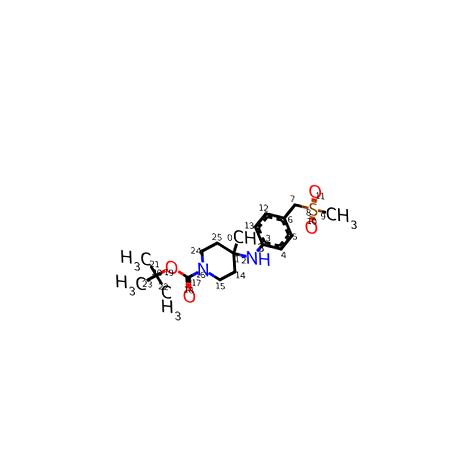 CC1(Nc2ccc(CS(C)(=O)=O)cc2)CCN(C(=O)OC(C)(C)C)CC1